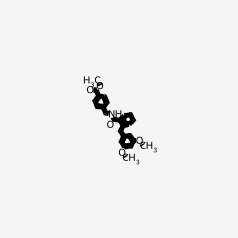 COC(=O)c1ccc(CNC(=O)C2C3CCC(C3)C2Cc2cc(OC)cc(OC)c2)cc1